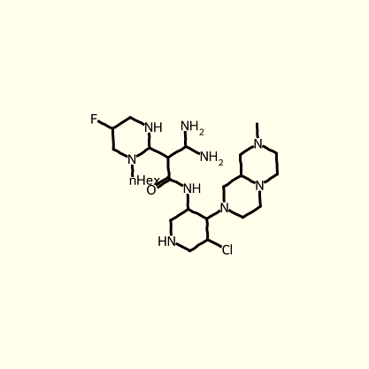 CCCCCCN1CC(F)CNC1C(C(=O)NC1CNCC(Cl)C1N1CCN2CCN(C)CC2C1)C(N)N